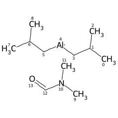 CC(C)[CH2][Al][CH2]C(C)C.CN(C)C=O